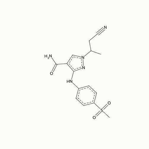 CC(CC#N)n1cc(C(N)=O)c(Nc2ccc(S(C)(=O)=O)cc2)n1